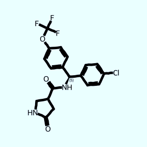 O=C1CC(C(=O)N[C@H](c2ccc(Cl)cc2)c2ccc(OC(F)(F)F)cc2)CN1